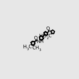 Cc1ccc(C(=O)Nc2ccc(-c3ccc(C(=O)[C@@H]4CCC[C@H]4C(=O)O)cc3)cc2)cc1C